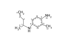 C=CCC(C)Nc1ccc(N)c(C)c1